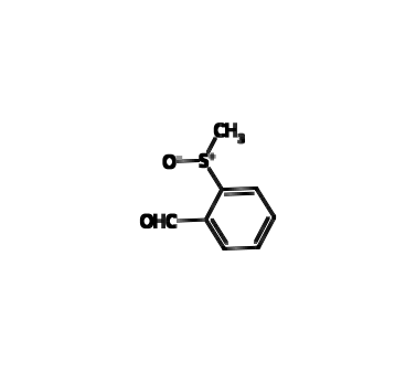 C[S+]([O-])c1ccccc1C=O